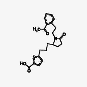 CC(=O)c1ccccc1CCN1C(=O)CCC1CCCc1ccc(C(=O)O)s1